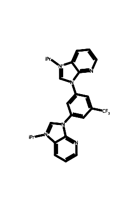 CC(C)[n+]1cn(-c2cc(-n3c[n+](C(C)C)c4cccnc43)cc(C(F)(F)F)c2)c2ncccc21